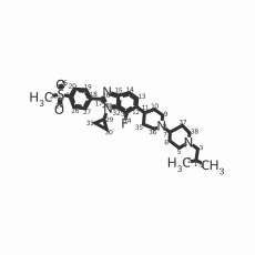 CC(C)CN1CCC(N2CCC(c3ccc4nc(-c5ccc(S(C)(=O)=O)cc5)n(C5CC5)c4c3F)CC2)CC1